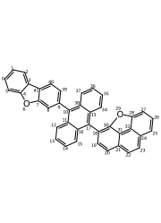 c1ccc2c(c1)oc1cc(-c3c4ccccc4c(-c4ccc5ccc6cccc7oc4c5c67)c4ccccc34)ccc12